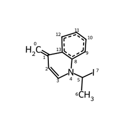 C=C1C=CN(C(C)I)c2ccccc21